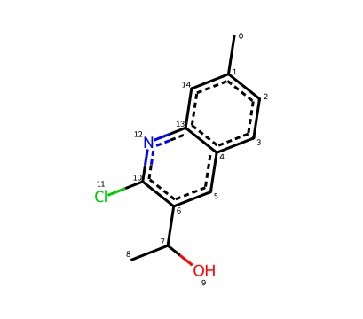 Cc1ccc2cc(C(C)O)c(Cl)nc2c1